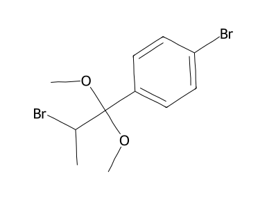 COC(OC)(c1ccc(Br)cc1)C(C)Br